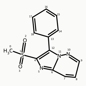 CS(=O)(=O)c1nc2cccnn2c1-c1ccccc1